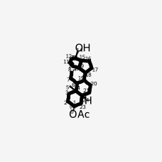 CC(=O)O[C@@H]1CC[C@]2(C)C3CC[C@]45C=CC[C@@H](O)C4CCC5C3CC[C@@H]2C1